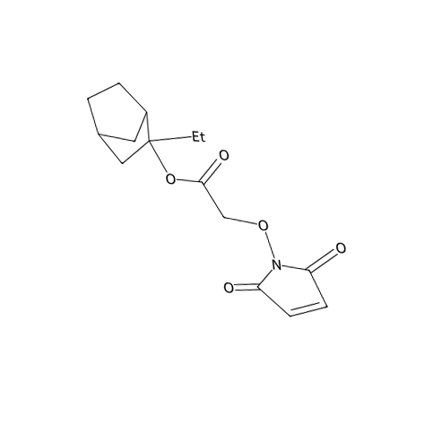 CCC1(OC(=O)CON2C(=O)C=CC2=O)CC2CCC1C2